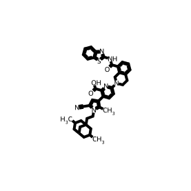 Cc1c(-c2ccc(N3CCc4cccc(C(=O)Nc5nc6ccccc6s5)c4C3)nc2C(=O)O)cc(C#N)n1CCC12CC(C)CC(CC(C)C1)C2